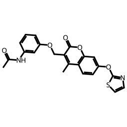 CC(=O)Nc1cccc(OCc2c(C)c3ccc(Oc4nccs4)cc3oc2=O)c1